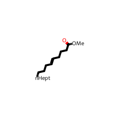 CCCCCCCCCCC=CCCCC(=O)OC